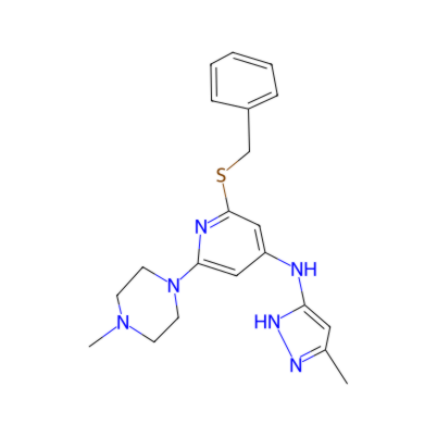 Cc1cc(Nc2cc(SCc3ccccc3)nc(N3CCN(C)CC3)c2)[nH]n1